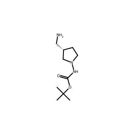 CC(C)(C)OC(=O)NN1CC[C@@H](CN)C1